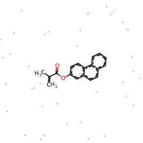 C=C(C)C(=O)Oc1ccc2c(ccc3ccccc32)c1